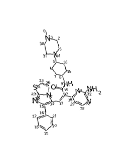 CN1CCN(C2CCC(NC(=O)C(=Cc3c(-c4ccccc4)nc4sccn34)c3ccnc(N)n3)CC2)CC1